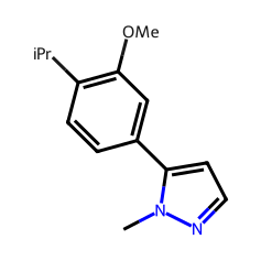 COc1cc(-c2ccnn2C)ccc1C(C)C